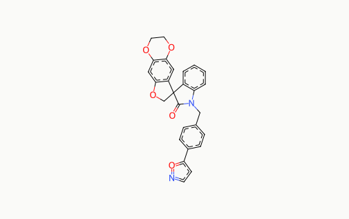 O=C1N(Cc2ccc(-c3ccno3)cc2)c2ccccc2C12COc1cc3c(cc12)OCCO3